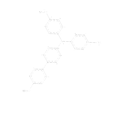 COc1ccc(-c2ccc(N(c3ccc(C)cc3)c3ccc(OC)cc3)cc2)cc1